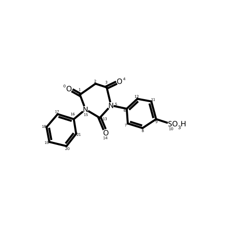 O=C1CC(=O)N(c2ccc(S(=O)(=O)O)cc2)C(=O)N1c1ccccc1